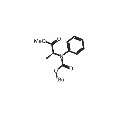 COC(=O)[C@H](C)N(C(=O)OC(C)(C)C)c1ccccc1